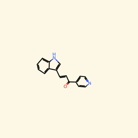 O=C(/C=C/c1c[nH]c2ccccc12)c1ccncc1